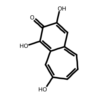 O=c1c(O)cc2cccc(O)cc-2c1O